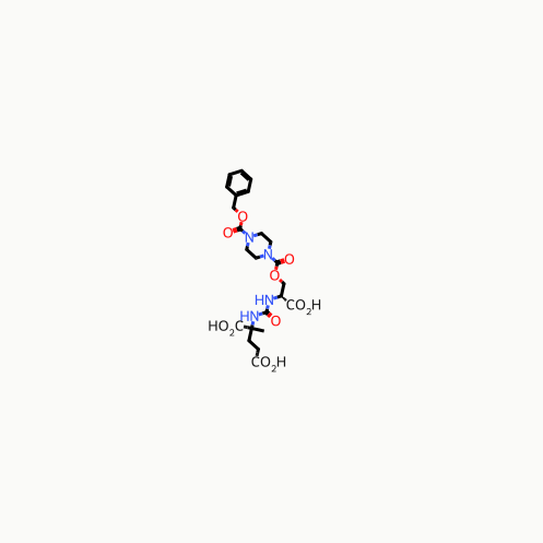 CC(CCC(=O)O)(NC(=O)N[C@@H](COC(=O)N1CCN(C(=O)OCc2ccccc2)CC1)C(=O)O)C(=O)O